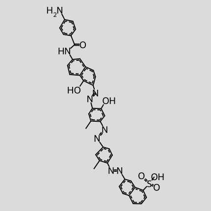 Cc1cc(N=Nc2cc(O)c(N=Nc3ccc4cc(NC(=O)c5ccc(N)cc5)ccc4c3O)cc2C)ccc1N=Nc1ccc2cccc(S(=O)(=O)O)c2c1